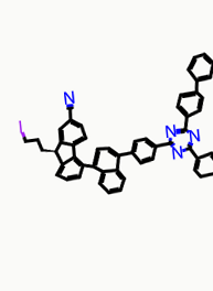 N#Cc1ccc2c(c1)[C@H](CCCI)c1cccc(-c3ccc(-c4ccc(-c5nc(C6=CCCC=C6)nc(-c6ccc(-c7ccccc7)cc6)n5)cc4)c4ccccc34)c1-2